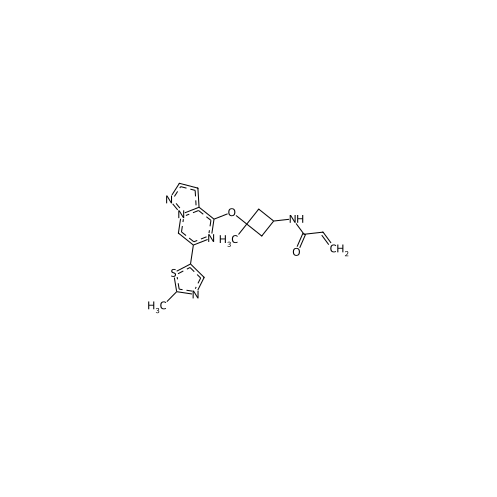 C=CC(=O)NC1CC(C)(Oc2nc(-c3cnc(C)s3)cn3nccc23)C1